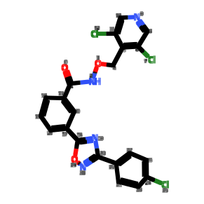 O=C(NOCc1c(Cl)cncc1Cl)c1cccc(-c2nc(-c3ccc(Cl)cc3)no2)c1